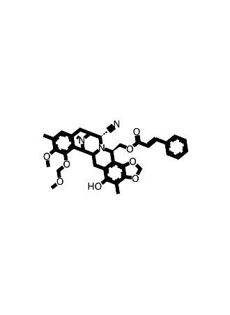 COCOc1c(OC)c(C)cc2c1C1C3Cc4c(O)c(C)c5c(c4[C@H](COC(=O)/C=C/c4ccccc4)N3[C@@H](C#N)C(C2)N1C)OCO5